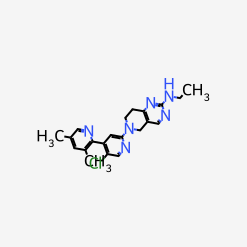 CCNc1ncc2c(n1)CCN(c1cc(-c3ncc(C)cc3C)c(Cl)cn1)C2